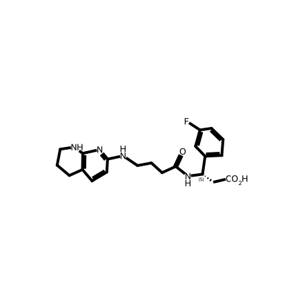 O=C(O)C[C@H](NC(=O)CCCNc1ccc2c(n1)NCCC2)c1cccc(F)c1